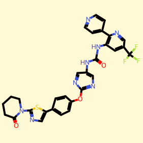 O=C(Nc1cnc(Oc2ccc(-c3cnc(N4CCCCC4=O)s3)cc2)nc1)Nc1cc(C(F)(F)F)cnc1-c1ccncc1